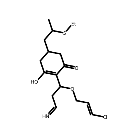 CCSC(C)CC1CC(=O)C(C(CC=N)OC/C=C/Cl)=C(O)C1